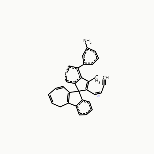 C#C/C=C\C1=C(C)c2c(-c3cccc(N)c3)cccc2C12C1=C(CC=CC=C1)c1ccccc12